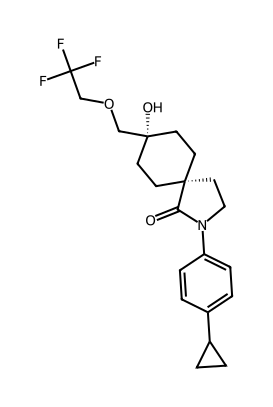 O=C1N(c2ccc(C3CC3)cc2)CC[C@]12CC[C@](O)(COCC(F)(F)F)CC2